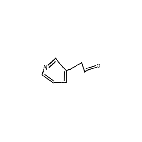 O=CCc1cccnc1